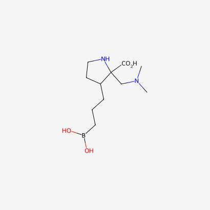 CN(C)CC1(C(=O)O)NCCC1CCCB(O)O